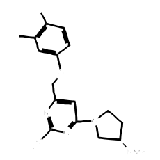 CN[C@@H]1CCN(c2cc(COc3ccc(F)c(F)c3)nc(N)n2)C1